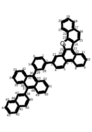 c1cc(-c2ccc3c4ccccc4c4c5ccc6ccccc6c5oc4c3c2)cc(-c2c3ccccc3c(-c3ccc4ccccc4c3)c3ccccc23)c1